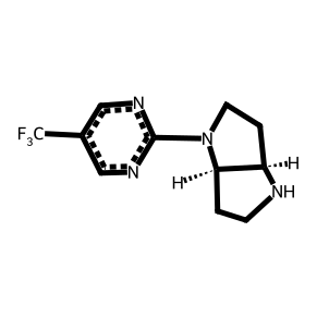 FC(F)(F)c1cnc(N2CC[C@H]3NCC[C@H]32)nc1